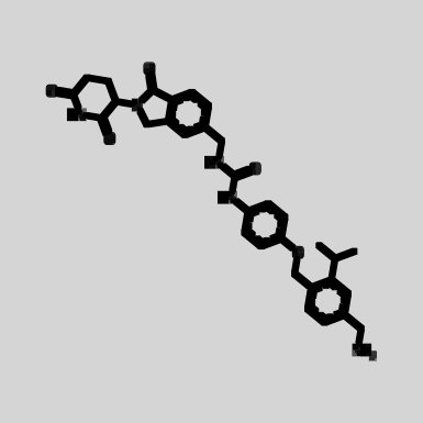 CC(C)c1cc(CN)ccc1COc1ccc(NC(=O)NCc2ccc3c(c2)CN(C2CCC(=O)NC2=O)C3=O)cc1